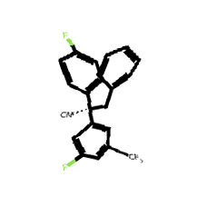 [C-]#[N+][C@@](Cc1ccccc1)(c1ccc(F)cc1)c1cc(F)cc(C(F)(F)F)c1